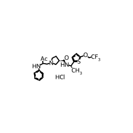 CC(=O)C(CN1CC[C@@H](C(=O)N[C@H](C)c2ccc(OCC(F)(F)F)s2)C1)Nc1ccccc1.Cl